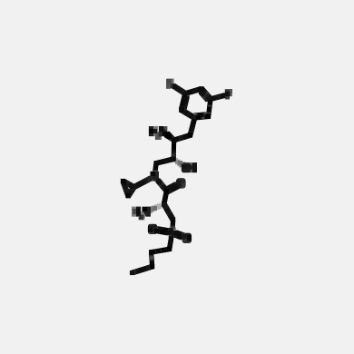 CCCCS(=O)(=O)C[C@H](N)C(=O)N(C[C@@H](O)[C@@H](N)Cc1cc(F)cc(F)c1)C1CC1